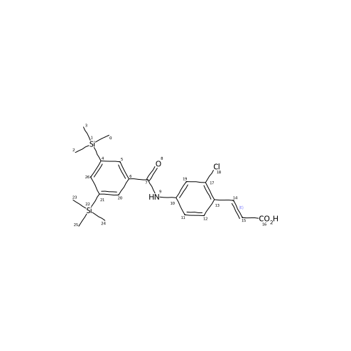 C[Si](C)(C)c1cc(C(=O)Nc2ccc(/C=C/C(=O)O)c(Cl)c2)cc([Si](C)(C)C)c1